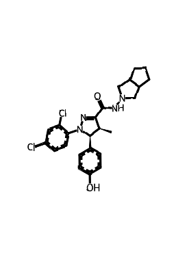 C[C@@H]1C(C(=O)NN2CC3CCCC3C2)=NN(c2ccc(Cl)cc2Cl)[C@@H]1c1ccc(O)cc1